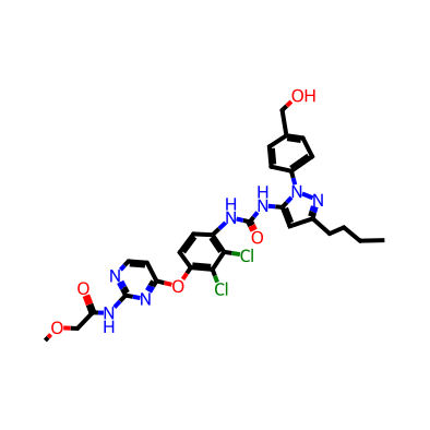 CCCCc1cc(NC(=O)Nc2ccc(Oc3ccnc(NC(=O)COC)n3)c(Cl)c2Cl)n(-c2ccc(CO)cc2)n1